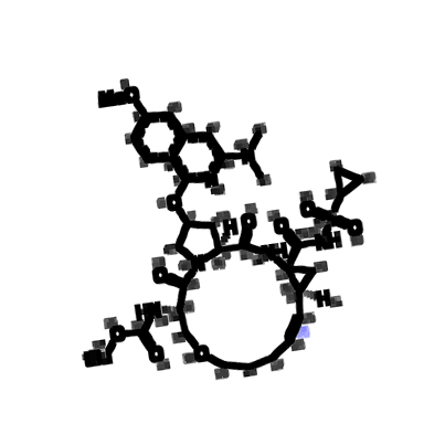 COc1ccc2c(OC3C[C@H]4C(=O)N[C@]5(C(=O)NS(=O)(=O)C6CC6)C[C@H]5/C=C\CCCOC[C@H](NC(=O)OC(C)(C)C)C(=O)N4C3)nc(N(C)C)cc2c1